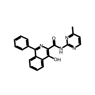 Cc1ccnc(NC(=O)c2nc(-c3ccccc3)c3ccccc3c2O)n1